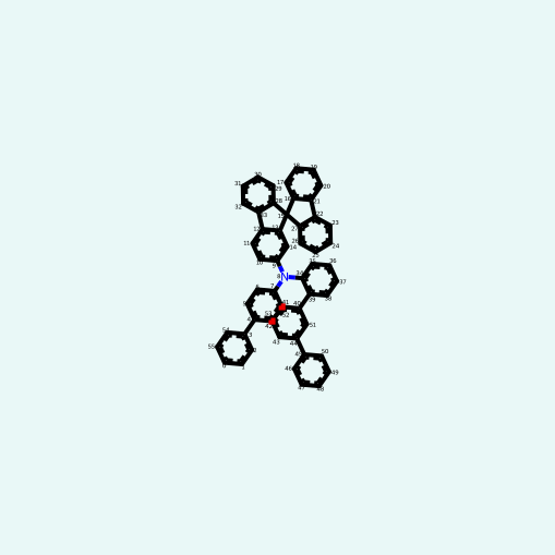 c1ccc(-c2ccc(N(c3ccc4c(c3)C3(c5ccccc5-c5ccccc53)c3ccccc3-4)c3ccccc3-c3cccc(-c4ccccc4)c3)cc2)cc1